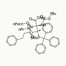 CCCCCON(C(=O)CCc1ccccc1)[C@](NC(=O)OC(C)(C)C)(C(=O)OC)[C@](C)(SC(c1ccccc1)(c1ccccc1)c1ccccc1)C(NCCC)SC